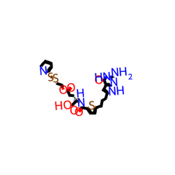 Nc1nc2[nH]c(CCCc3ccc(C(=O)N[C@@H](CCC(=O)OCCSSc4ccccn4)C(=O)O)s3)cc2c(=O)[nH]1